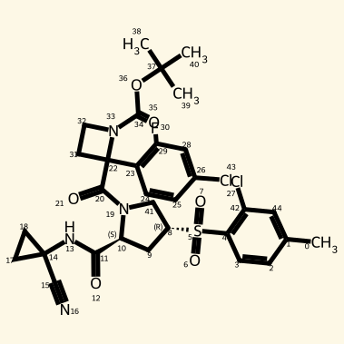 Cc1ccc(S(=O)(=O)[C@@H]2C[C@@H](C(=O)NC3(C#N)CC3)N(C(=O)C3(c4ccc(Cl)cc4F)CCN3C(=O)OC(C)(C)C)C2)c(Cl)c1